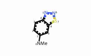 CNc1ccc2nnsc2c1